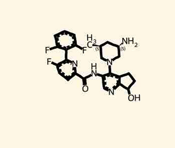 C[C@H]1C[C@H](N)CN(c2c(NC(=O)c3ccc(F)c(-c4c(F)cccc4F)n3)cnc3c2CCC3O)C1